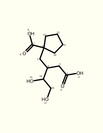 O=C(O)CC(CC1(C(=O)O)CCCC1)C(O)CO